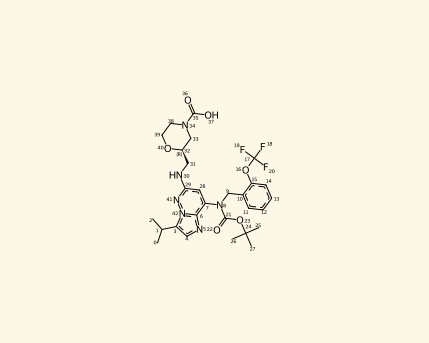 CC(C)c1cnc2c(N(Cc3ccccc3OC(F)(F)F)C(=O)OC(C)(C)C)cc(NC[C@@H]3CN(C(=O)O)CCO3)nn12